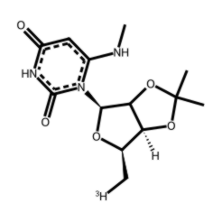 [3H]C[C@H]1O[C@@H](n2c(NC)cc(=O)[nH]c2=O)C2OC(C)(C)O[C@H]21